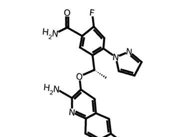 C[C@H](Oc1cc2cc(F)ccc2nc1N)c1cc(C(N)=O)c(F)cc1-n1cccn1